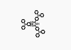 c1ccc(N(c2ccccc2)c2ccc(C3NC(c4ccc(N(c5ccccc5)c5ccccc5)cc4)NC(c4ccc(N(c5ccccc5)c5ccccc5)cc4)N3)cc2)cc1